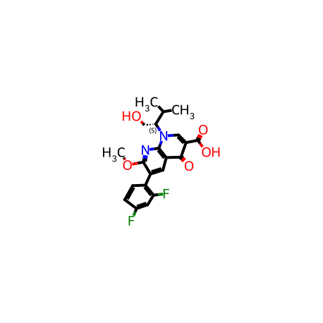 COc1nc2c(cc1-c1ccc(F)cc1F)c(=O)c(C(=O)O)cn2[C@H](CO)C(C)C